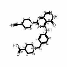 N#CC1CCN(c2nc(Nc3ccc(CN4CCC(C(=O)O)CC4)cc3)c3c(=O)[nH]ncc3n2)CC1